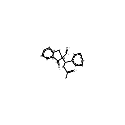 CC(=O)CC(c1ccccc1)C1(C=O)Cc2ccccc2C1=O